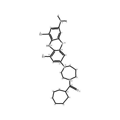 CCc1cc(N(C)C)cc2c1Nc1c(CC)cc(N3CCCN(C(=O)C4CCCCCC4)CC3)cc1S2